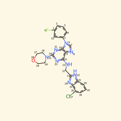 Fc1cccc(-n2cnc3c(NCc4nc5c(Cl)cccc5[nH]4)nc(N4CCOCC4)nc32)c1